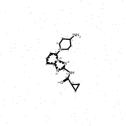 NC1CCN(c2cccc3nc(NC(=O)C4CC4)nn23)CC1